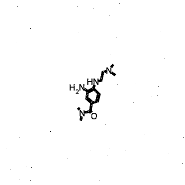 CN(C)CCNc1ccc(C(=O)N(C)C)cc1N